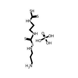 NCCCNSC(=S)NCCNC(=S)S.O=P(O)(O)O